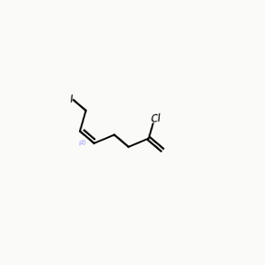 C=C(Cl)CC/C=C\CI